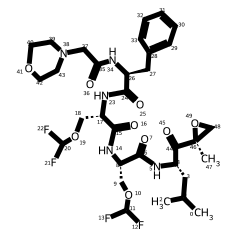 CC(C)C[C@H](NC(=O)[C@H](COC(F)F)NC(=O)[C@H](COC(F)F)NC(=O)[C@H](Cc1ccccc1)NC(=O)CN1CCOCC1)C(=O)[C@]1(C)CO1